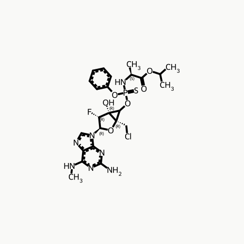 CNc1nc(N)nc2c1ncn2[C@@H]1O[C@]2(CCl)C(OP(=S)(N[C@@H](C)C(=O)OC(C)C)Oc3ccccc3)[C@]2(O)[C@H]1F